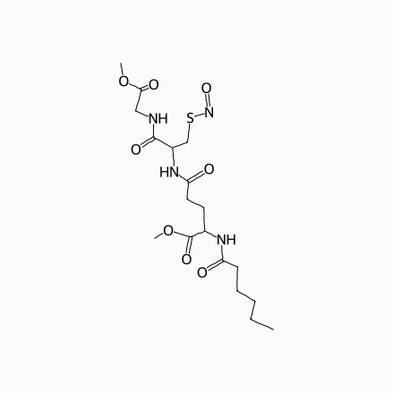 CCCCCC(=O)NC(CCC(=O)NC(CSN=O)C(=O)NCC(=O)OC)C(=O)OC